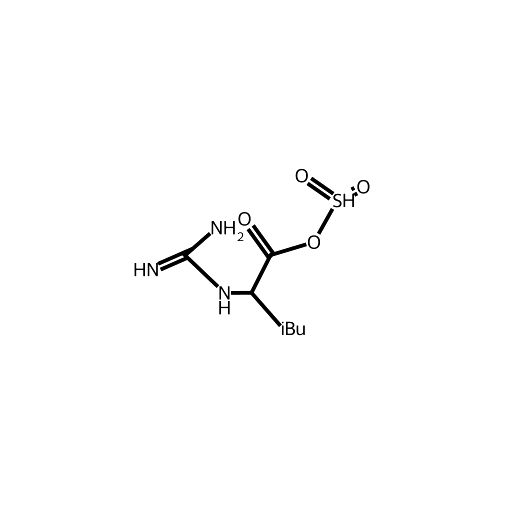 CCC(C)C(NC(=N)N)C(=O)O[SH](=O)=O